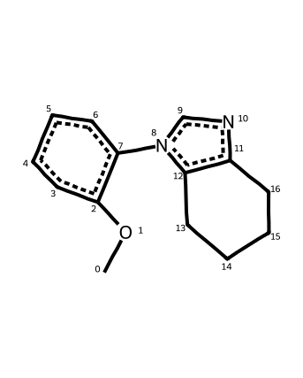 COc1ccccc1-n1cnc2c1CCCC2